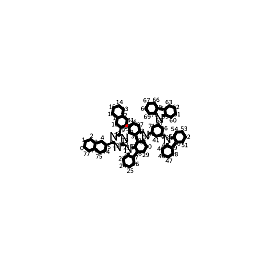 c1ccc2cc(-c3nc(-c4ccc5ccccc5c4)nc(-n4c5ccccc5c5ccc6c(c7ccccc7n6-c6cc(-n7c8ccccc8c8ccccc87)cc(-n7c8ccccc8c8ccccc87)c6)c54)n3)ccc2c1